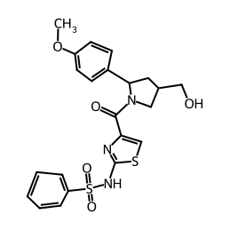 COc1ccc(C2CC(CO)CN2C(=O)c2csc(NS(=O)(=O)c3ccccc3)n2)cc1